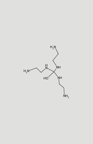 NCCNC(O)(NCCN)NCCN